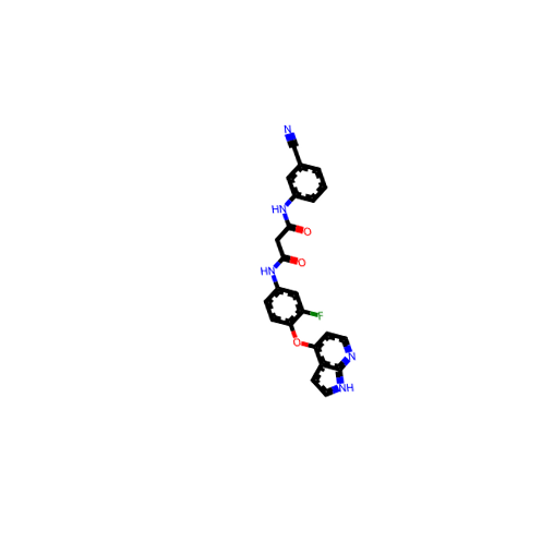 N#Cc1cccc(NC(=O)CC(=O)Nc2ccc(Oc3ccnc4[nH]ccc34)c(F)c2)c1